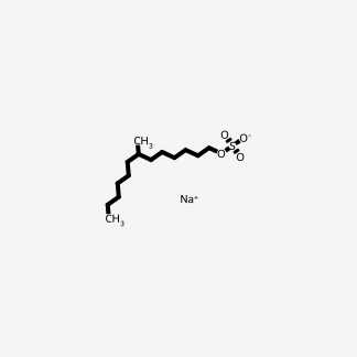 CCCCCCC(C)CCCCCCOS(=O)(=O)[O-].[Na+]